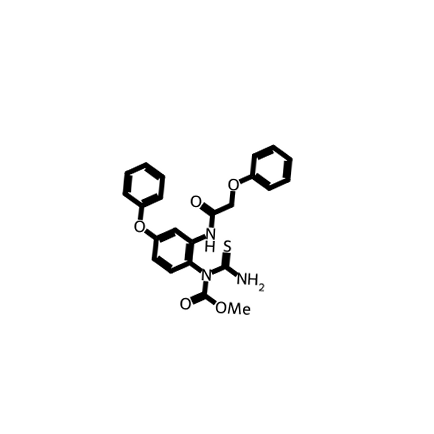 COC(=O)N(C(N)=S)c1ccc(Oc2ccccc2)cc1NC(=O)COc1ccccc1